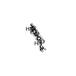 CCN(CC)CCNC(=O)c1ccc(-c2ccc(/C=C3/SC(=S)NC3=O)o2)cc1